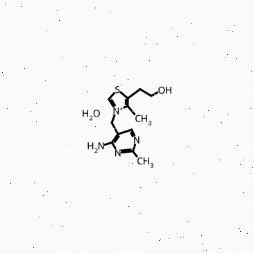 Cc1ncc(C[n+]2csc(CCO)c2C)c(N)n1.O